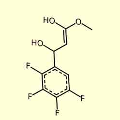 CO/C(O)=C/C(O)c1cc(F)c(F)c(F)c1F